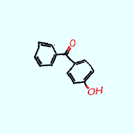 O=C(c1[c]cccc1)c1ccc(O)cc1